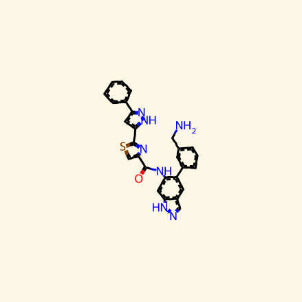 NCc1cccc(-c2cc3cn[nH]c3cc2NC(=O)c2csc(-c3cc(-c4ccccc4)n[nH]3)n2)c1